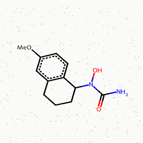 COc1ccc2c(c1)CCCC2N(O)C(N)=O